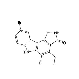 CCc1c(F)c2c(c3c1C(=O)NC3)C1C=C(Br)C=CC1N2